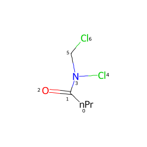 CCCC(=O)N(Cl)CCl